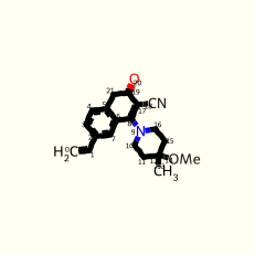 C=Cc1ccc2c(c1)C(N1CCC(C)(OC)CC1)=C(C#N)C(=O)C2